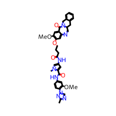 COc1cc2c(cc1OCCCC(=O)Nc1cc(C(=O)Nc3ccc(-n4cnc(C)n4)c(OC)c3)n(C)c1)N=CC1Cc3ccccc3CN1C2=O